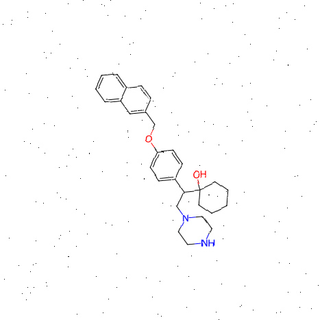 OC1(C(CN2CCNCC2)c2ccc(OCc3ccc4ccccc4c3)cc2)CCCCC1